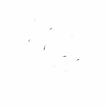 CC1=C2C[C@H]3[C@@H](CC[C@@H]4C[C@@H](O)CC[C@@]43C)[C@@H]2CC[C@@]2(C1)O[C@@H]1C[C@H](C)CN[C@H]1[C@H]2C